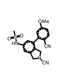 COc1ccc(C#N)c(-c2cc(NS(C)(=O)=O)cc3c2CN(C#N)C3)c1